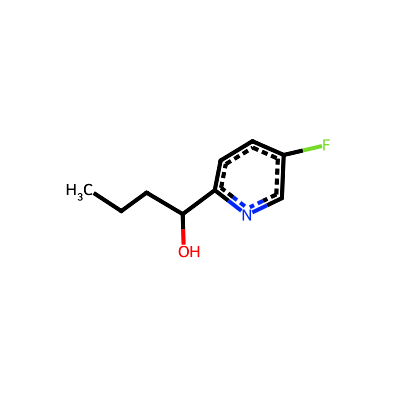 CCCC(O)c1ccc(F)cn1